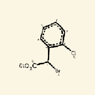 CCOC(=O)C(Br)c1ccccc1Cl